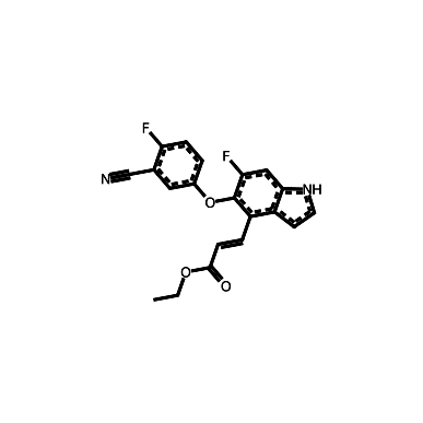 CCOC(=O)/C=C/c1c(Oc2ccc(F)c(C#N)c2)c(F)cc2[nH]ccc12